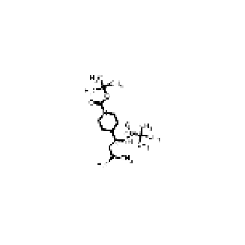 CC(C)C[C@H](N[S@+]([O-])C(C)(C)C)C1CCN(C(=O)OC(C)(C)C)CC1